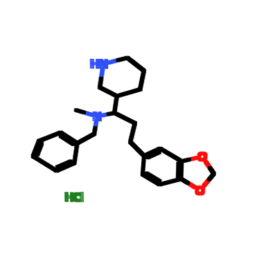 CN(Cc1ccccc1)C(CCc1ccc2c(c1)OCO2)C1CCCNC1.Cl